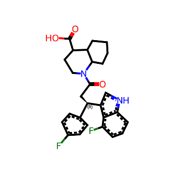 O=C(O)C1CCN(C(=O)C[C@H](c2ccc(F)cc2)c2c[nH]c3cccc(F)c23)C2CCCCC12